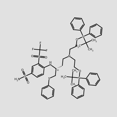 CC(C)(C)[Si](OCCN(CCO[Si](c1ccccc1)(c1ccccc1)C(C)(C)C)CC[C@H](CSc1ccccc1)Nc1ccc(S(N)(=O)=O)cc1S(=O)(=O)C(F)(F)F)(c1ccccc1)c1ccccc1